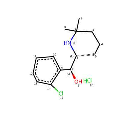 CC1(C)CCC[C@H]([C@@H](O)c2ccccc2Cl)N1.Cl